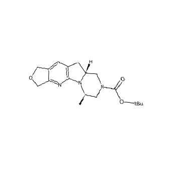 C[C@@H]1CN(C(=O)OC(C)(C)C)C[C@H]2Cc3cc4c(nc3N21)COC4